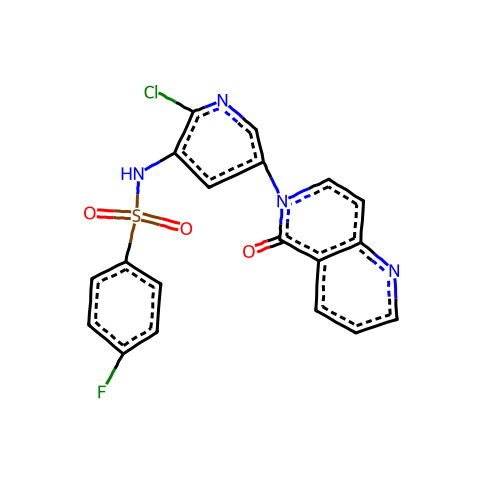 O=c1c2cccnc2ccn1-c1cnc(Cl)c(NS(=O)(=O)c2ccc(F)cc2)c1